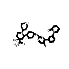 NC(=O)C1(O)CCN(C2CCNCC2)C(C2CCC(Nc3ncc(F)c(-c4cccc(-n5ccccc5=O)c4)n3)CC2)C1